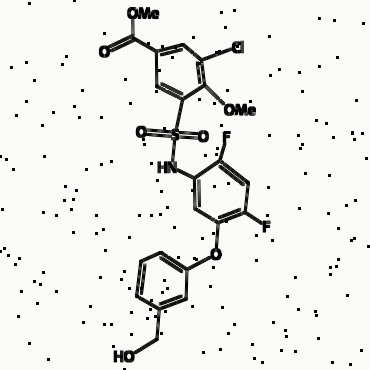 COC(=O)c1cc(Cl)c(OC)c(S(=O)(=O)Nc2cc(Oc3cccc(CO)c3)c(F)cc2F)c1